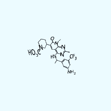 Cc1nc(NC(C)c2cc(N)cc(C(F)(F)F)c2)c2cc(C3CCCN(C(=O)O)C3)c(=O)n(C)c2n1